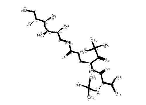 CC(C)[C@H](NC(C)(C)C)C(=O)N[C@@H](CCC(=O)NC[C@H](O)[C@@H](O)[C@H](O)[C@H](O)CO)C(=O)C(C)(C)C